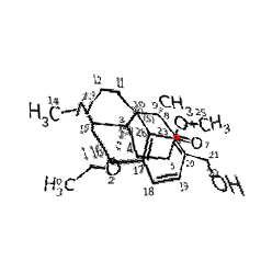 CCO[C@@]12CCC(=O)[C@@H](C)[C@@]13CCN(C)C2Cc1ccc(CO)c(OC)c13